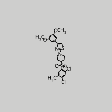 COc1cc(OC)cc(-c2csc(N3CCC(S(=O)(=O)c4cc(C)c(Cl)cc4Cl)CC3)n2)c1